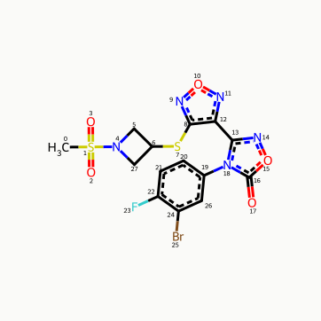 CS(=O)(=O)N1CC(Sc2nonc2-c2noc(=O)n2-c2ccc(F)c(Br)c2)C1